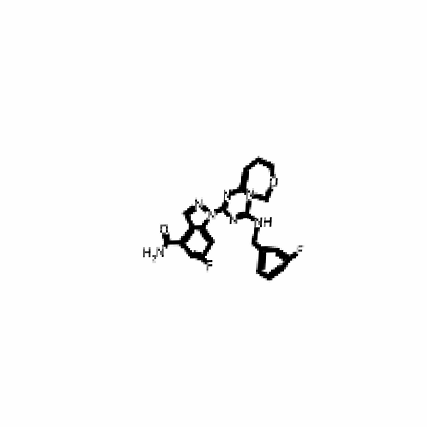 NC(=O)c1cc(F)cc2c1cnn2C1=NC2=CCCOCN2C(NCc2cccc(F)c2)=N1